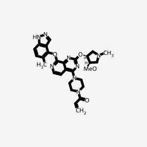 C=CC(=O)N1CCN(c2nc(O[C@@H]3CN(C)C[C@H]3OC)nc3c(Oc4c(C)ccc5[nH]ncc45)nccc23)CC1